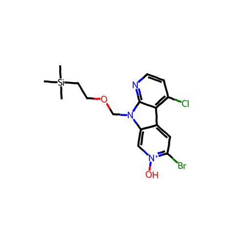 C[Si](C)(C)CCOCn1c2c[n+](O)c(Br)cc2c2c(Cl)ccnc21